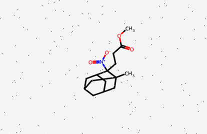 COC(=O)CCC1([N+](=O)[O-])C2CC3CC(C2)CC1(C)C3